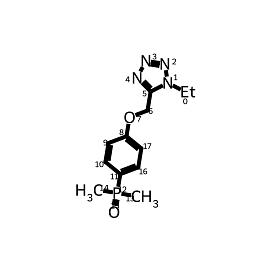 CCn1nnnc1COc1ccc(P(C)(C)=O)cc1